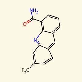 NC(=O)c1cccc2cc3ccc(C(F)(F)F)cc3nc12